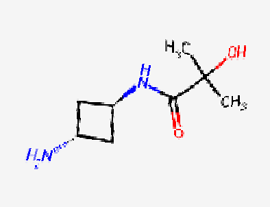 CC(C)(O)C(=O)N[C@H]1C[C@H](N)C1